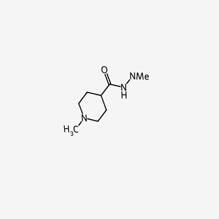 CNNC(=O)C1CCN(C)CC1